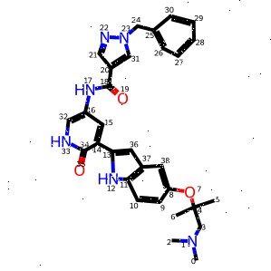 CN(C)CC(C)(C)Oc1ccc2[nH]c(-c3cc(NC(=O)c4cnn(Cc5ccccc5)c4)c[nH]c3=O)cc2c1